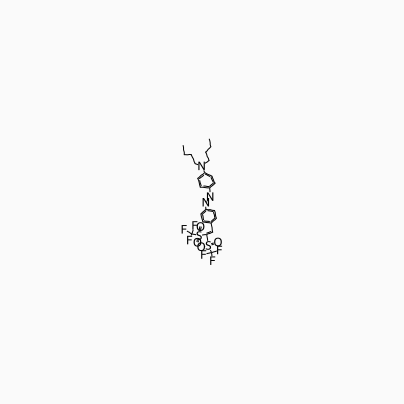 CCCCN(CCCC)c1ccc(N=Nc2ccc(C=C(S(=O)(=O)C(F)(F)F)S(=O)(=O)C(F)(F)F)cc2)cc1